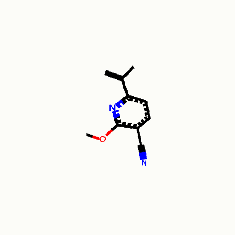 C=C(C)c1ccc(C#N)c(OC)n1